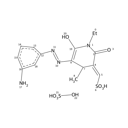 CCN1C(=O)C(=CS(=O)(=O)O)C(C)C(N=Nc2cccc(N)c2)=C1O.O=S(=O)(O)O